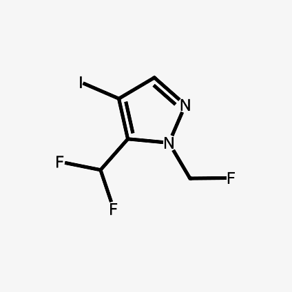 FCn1ncc(I)c1C(F)F